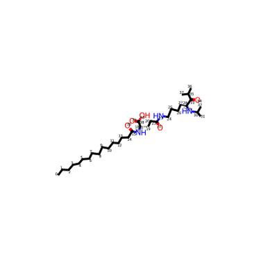 CCCCCCCCCCCCCCCC(=O)N[C@@H](CCC(=O)NCCCC[C@H](NC(C)C)C(=O)C(C)C)C(=O)O